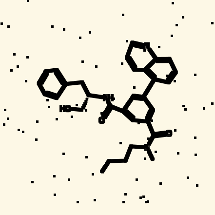 CCCCN(C)C(=O)c1cc(C(=O)N[C@H](CO)Cc2ccccc2)cc(-c2cccc3ncccc23)c1